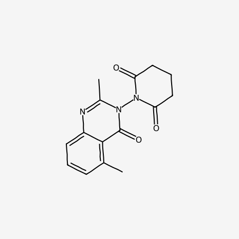 Cc1cccc2nc(C)n(N3C(=O)CCCC3=O)c(=O)c12